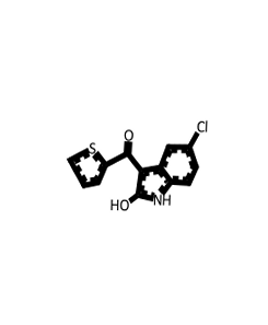 O=C(c1cccs1)c1c(O)[nH]c2ccc(Cl)cc12